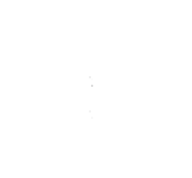 O=CCNC(=O)CS